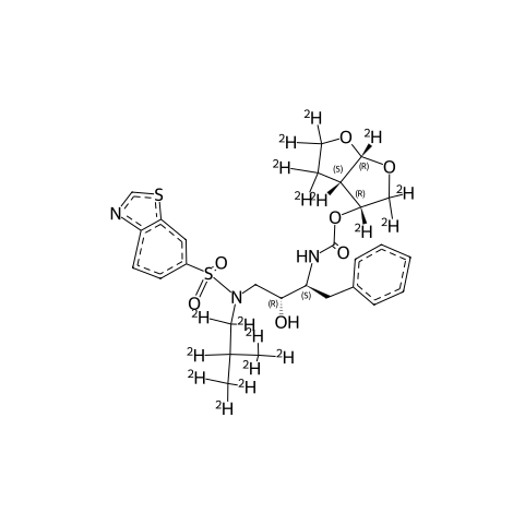 [2H]C([2H])([2H])C([2H])(C([2H])([2H])[2H])C([2H])([2H])N(C[C@@H](O)[C@H](Cc1ccccc1)NC(=O)O[C@@]1([2H])C([2H])([2H])O[C@@]2([2H])OC([2H])([2H])C([2H])([2H])[C@]21[2H])S(=O)(=O)c1ccc2ncsc2c1